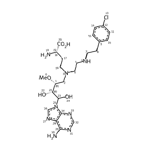 CO[C@H](CN(CCNCCc1ccc(Cl)cc1)CC[C@H](N)C(=O)O)[C@@H](O)C(O)n1cnc2c(N)ncnc21